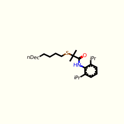 CCCCCCCCCCCCCCSC(C)(C)C(=O)Nc1c(C(C)C)cccc1C(C)C